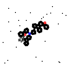 CC1(C)c2ccccc2-c2ccc(N(c3cccc(-c4cccc5c6ccc7oc8ccccc8c7c6c6ccccc6c45)c3)c3cccc4c3oc3ccccc34)cc21